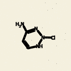 NC1=NN(Cl)N[C]=C1